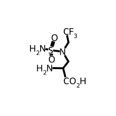 NC(CN(CC(F)(F)F)S(N)(=O)=O)C(=O)O